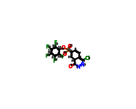 O=C1N=NC(Cl)=C2C=CC(S(=O)(=O)Oc3c(F)c(F)c(F)c(F)c3F)=CC12